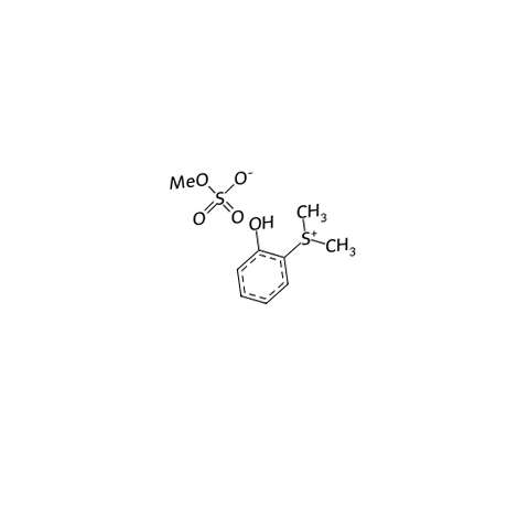 COS(=O)(=O)[O-].C[S+](C)c1ccccc1O